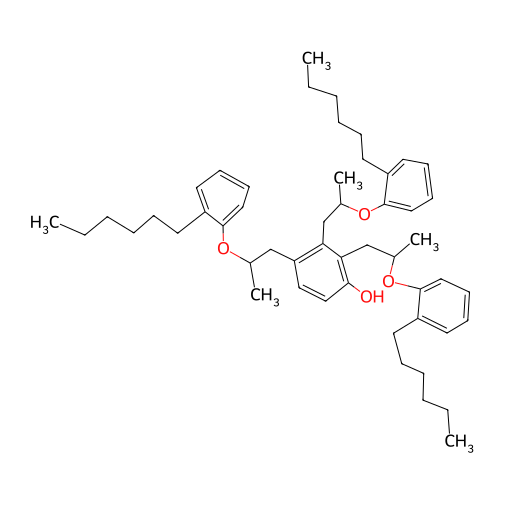 CCCCCCc1ccccc1OC(C)Cc1ccc(O)c(CC(C)Oc2ccccc2CCCCCC)c1CC(C)Oc1ccccc1CCCCCC